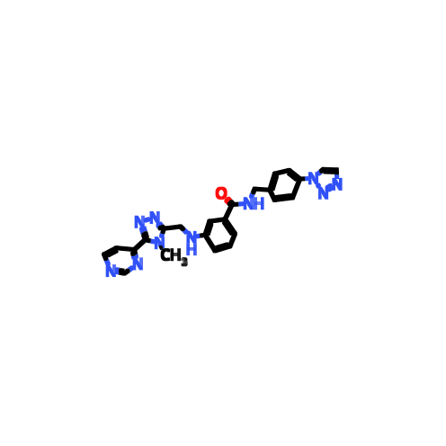 Cn1c(CNc2cccc(C(=O)NCc3ccc(-n4ccnn4)cc3)c2)nnc1-c1ccncn1